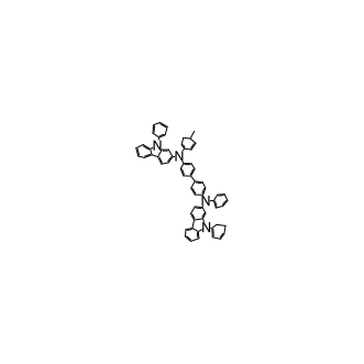 CC1C=CC(N(c2ccc(-c3ccc(N(c4ccccc4)c4ccc5c6ccccc6n(C6=CC=CCC6)c5c4)cc3)cc2)c2ccc3c4ccccc4n(-c4ccccc4)c3c2)=CC1